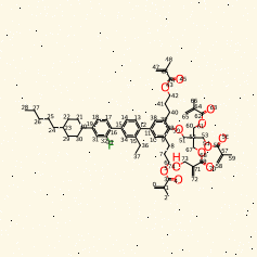 C=C(C)C(=O)OCCCc1cc(-c2ccc(-c3ccc(C4CCC(CCCCC)CC4)cc3F)cc2CC)cc(CCCOC(=O)C(=C)C)c1OCC(COC(=O)C(=C)C)(COC(=O)C(=C)C)COC(=O)C(=C)CO